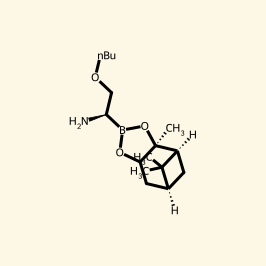 CCCCOC[C@H](N)B1OC2C[C@@H]3C[C@@H](C3(C)C)[C@]2(C)O1